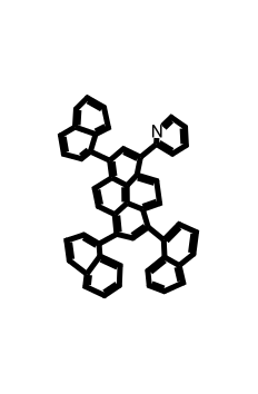 c1ccc(-c2cc(-c3cccc4ccccc34)c3ccc4c(-c5cccc6ccccc56)cc(-c5cccc6ccccc56)c5ccc2c3c54)nc1